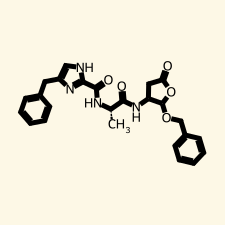 C[C@H](NC(=O)c1nc(Cc2ccccc2)c[nH]1)C(=O)NC1CC(=O)OC1OCc1ccccc1